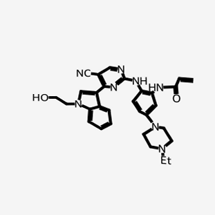 C=CC(=O)Nc1cc(N2CCN(CC)CC2)ccc1Nc1ncc(C#N)c(-c2cn(CCO)c3ccccc23)n1